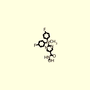 C[N+](c1ccc(F)cc1)(c1ccc(F)cc1)c1ncc(C(=O)NO)cn1